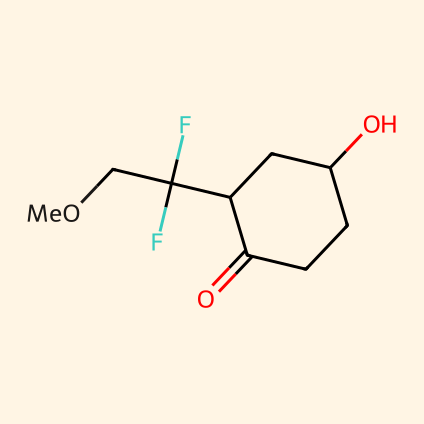 COCC(F)(F)C1CC(O)CCC1=O